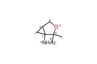 CC(=O)NC12CC1COC2(C)C